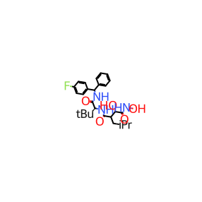 CC(C)CC(C(=O)N[C@H](C(=O)NC(c1ccccc1)c1ccc(F)cc1)C(C)(C)C)[C@H](O)C(=O)NO